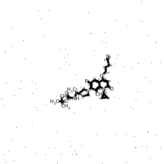 Cc1c(N2CC[C@@H]([C@H](C)NC(=O)OC(C)(C)C)C2)c(F)cc2c(OCCCC#N)cc(=O)n(C3CC3)c12